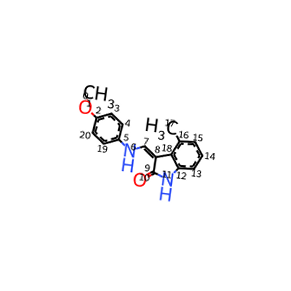 COc1ccc(NC=C2C(=O)Nc3cccc(C)c32)cc1